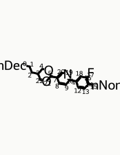 CCCCCCCCCCCCC1COC(c2ccc(-c3ccc(CCCCCCCCC)c(F)c3)nc2)OC1